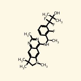 Cc1nc(N[C@H](C)c2cccc(C(F)(F)C(C)(C)O)c2F)c2cc3c(cc2n1)C(C)(C)CN3C